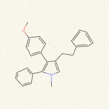 COc1ccc(-c2c(CCc3ccccc3)cn(C)c2-c2ccccc2)cc1